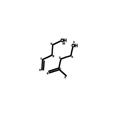 C=C(C)CCO.C=CCCO